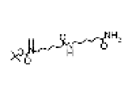 CC(C)(C)OC(=O)NCCCCCC(=O)NCCCCCC(N)=O